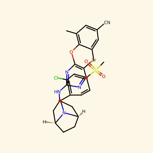 Cc1cc(C#N)cc(C)c1Oc1nc(NC2C[C@H]3CC[C@@H](C2)N3Cc2ccc(S(C)(=O)=O)cc2Cl)ncc1Br